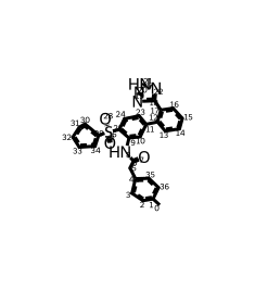 Cc1ccc(CC(=O)Nc2cc(-c3ccccc3-c3nn[nH]n3)ccc2S(=O)(=O)c2ccccc2)cc1